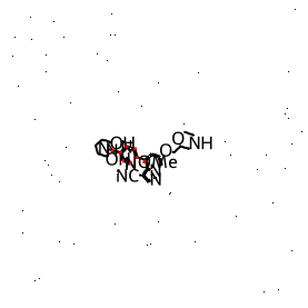 COc1ccc(C(O)(O)N2C3CC2CN(c2cnc(-c4cc(OCC5CNCCO5)cn5ncc(C#N)c45)cn2)C3)cn1